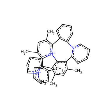 Cc1ccccc1-c1c(C)cc(C)c2[n+]1-c1c(-c3cccc[n+]3C)c(C)cc(C)c1-c1cccc[n+]1-c1ccccc1-2